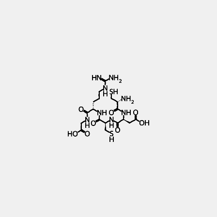 N=C(N)NCCC[C@H](NC(=O)[C@H](CS)NC(=O)[C@H](CC(=O)O)NC(=O)[C@@H](N)CS)C(=O)NCC(=O)O